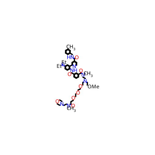 CCN(CC)c1ccc(NC(=O)c2cccc(C(=O)N(C)CCN(CCOC)CCOCCOCCOCCC(=O)N(C)CCN3CCOCC3)c2)c(-c2cc(C(=O)NCc3cccc(C)c3)ccn2)c1